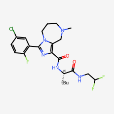 CN1CCCn2c(-c3cc(Cl)ccc3F)nc(C(=O)N[C@H](C(=O)NCC(F)F)C(C)(C)C)c2C1